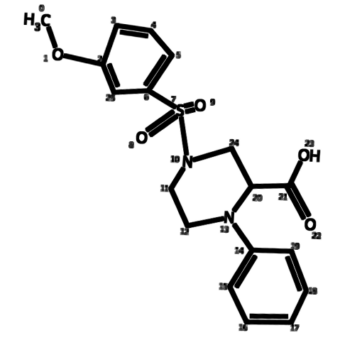 COc1cccc(S(=O)(=O)N2CCN(c3ccccc3)C(C(=O)O)C2)c1